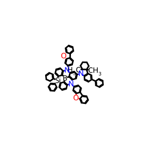 CC12CCCCC1(C)N(c1cc3c4c(c1)N(c1ccc5c(c1)oc1ccccc15)c1cccc5c1B4c1c(cccc1[Si]5(C1=CC=CCC1)c1ccccc1)N3c1ccc3c(c1)oc1ccccc13)c1ccc(-c3ccccc3)cc12